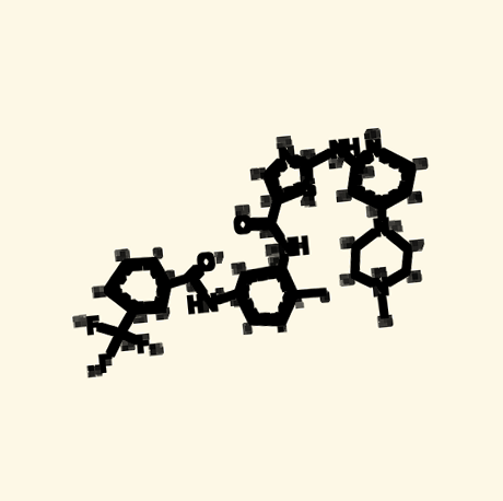 Cc1ccc(NC(=O)c2cccc(C(F)(F)F)c2)cc1NC(=O)c1cnc(Nc2cc(N3CCN(C)CC3)ccn2)s1